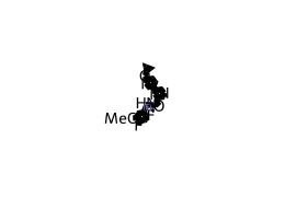 COc1cc(/C=N/NC(=O)c2cncc(-c3ccc(OC4CC4)nc3)n2)c(F)cc1F